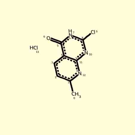 Cc1ccc2c(=O)[nH]c(Cl)nc2n1.Cl